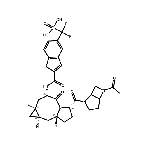 CC(=O)N1CC2C1CCN2C(=O)[C@@H]1CC[C@@H]2C[C@H]3C[C@H]3C[C@H](NC(=O)c3cc4cc(C(F)(F)P(=O)(O)O)ccc4s3)C(=O)N21